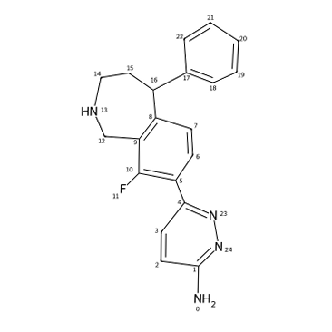 Nc1ccc(-c2ccc3c(c2F)CNCCC3c2ccccc2)nn1